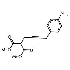 COC(=O)C(CC#CCc1ccc(N)cc1)C(=O)OC